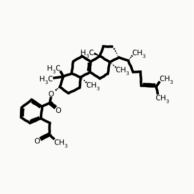 CC(=O)Cc1ccccc1C(=O)O[C@H]1CC[C@]2(C)C3=C(CCC2C1(C)C)[C@]1(C)CC[C@H]([C@H](C)CCC=C(C)C)[C@@]1(C)CC3